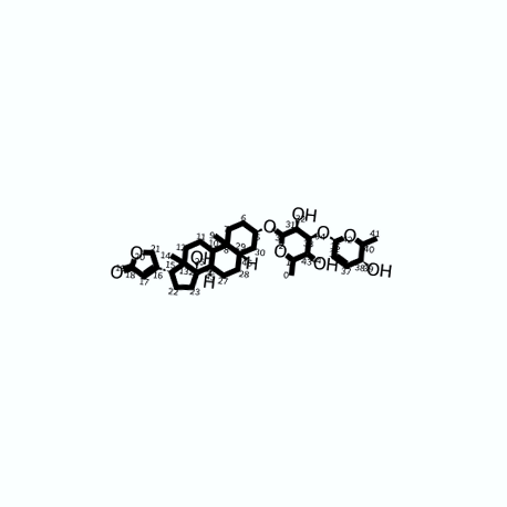 CC1OC(O[C@H]2CCC3(C)C4CCC5(C)[C@@H](C6=CC(=O)OC6)CC[C@]5(O)[C@@H]4CC[C@H]3C2)[C@@H](O)[C@@H](O[C@H]2C=C[C@@H](O)C(C)O2)C1O